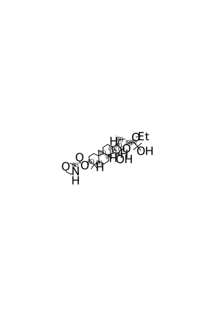 CCO[C@@H]([C@H]1C[C@@H](C)[C@H]2[C@H](O1)[C@H](O)[C@@]1(C)[C@@H]3CC[C@H]4C(C)(C)[C@@H](OC(=O)[C@H]5COCCN5)CCC45C[C@@]35CC[C@]21C)C(C)(C)O